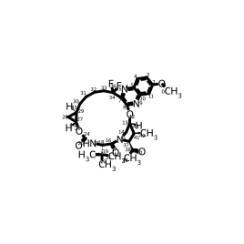 COc1ccc2nc3c(nc2c1)O[C@H]1CN(C(=O)[C@H](C(C)(C)C)NC(=O)O[C@@H]2C[C@H]2CCCCC3(F)F)[C@H](C(C)=O)[C@@H]1C